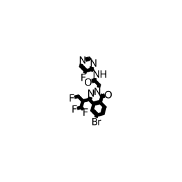 O=C(Cn1nc(C(CF)C(F)F)c2cc(Br)ccc2c1=O)Nc1ncncc1F